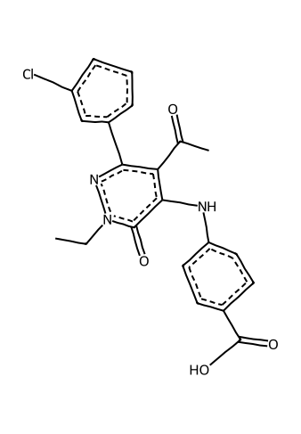 CCn1nc(-c2cccc(Cl)c2)c(C(C)=O)c(Nc2ccc(C(=O)O)cc2)c1=O